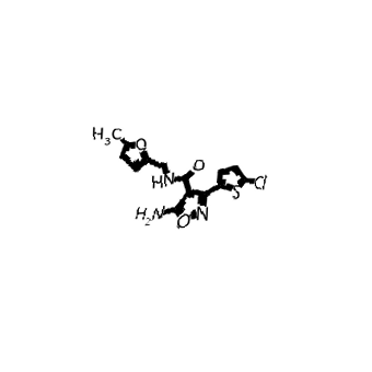 Cc1ccc(CNC(=O)c2c(-c3ccc(Cl)s3)noc2N)o1